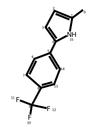 Cc1ccc(-c2ccc(C(F)(F)F)cc2)[nH]1